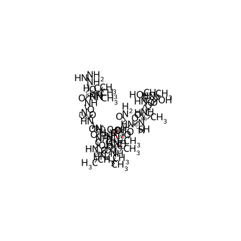 CN[C@H](C(=O)N[C@@H](CCCNC(=N)N)C(=O)NCC(=O)N1CCC[C@H]1C(=O)NCC(=O)N1CCC[C@H]1C(=O)NCC(=O)N[C@@H](CC(C)C)C(=O)N[C@@H](CC(C)C)C(=O)N[C@@H](CC(C)C)C(=O)N[C@@H](CC(C)C)C(=O)N[C@@H](C)C(=O)N[C@H](C(=O)N[C@@H](CCC(N)=O)C(=O)N[C@@H](CS)C(=O)N[C@@H](CC(C)C)C(=O)NCC(=O)N[C@H](C(=O)N[C@@H](C)C(=O)O)[C@@H](C)O)C(C)C)C(C)(C)C